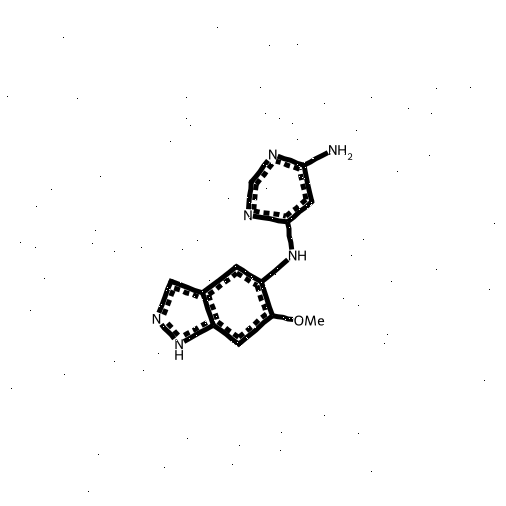 COc1cc2[nH]ncc2cc1Nc1cc(N)ncn1